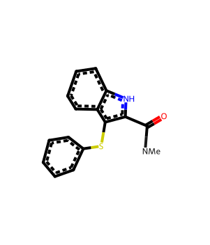 CNC(=O)c1[nH]c2ccccc2c1Sc1ccccc1